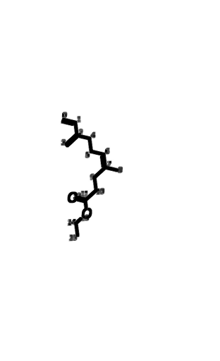 C=CC(=C)CCC=C(C)CCC(=O)OCC